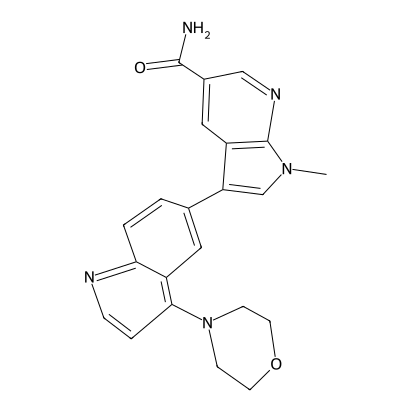 Cn1cc(-c2ccc3nccc(N4CCOCC4)c3c2)c2cc(C(N)=O)cnc21